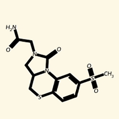 CS(=O)(=O)c1ccc2c(c1)N1C(=O)N(CC(N)=O)CC1CS2